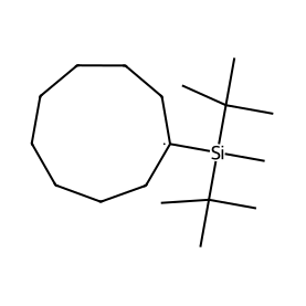 CC(C)(C)[Si](C)([C]1CCCCCCCC1)C(C)(C)C